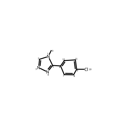 Cn1cnnc1-c1ccc(Cl)cc1